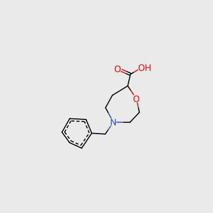 O=C(O)C1CCN(Cc2ccccc2)CCO1